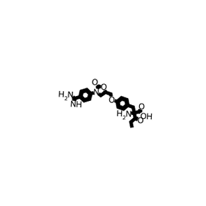 CCC(=O)C(N)(Cc1ccc(OCC2CN(c3ccc(C(=N)N)cc3)C(=O)O2)cc1)C(=O)O